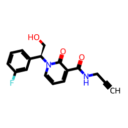 C#CCNC(=O)c1cccn([C@H](CO)c2cccc(F)c2)c1=O